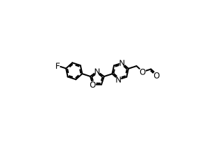 O=COCc1cnc(-c2coc(-c3ccc(F)cc3)n2)cn1